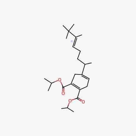 C/C(=C\CCC(C)C1=CCC(C(=O)OC(C)C)=C(C(=O)OC(C)C)C1)C(C)(C)C